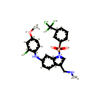 CNCc1cn(S(=O)(=O)c2cccc(C(F)(F)F)c2)c2cc(Nc3ccc(OC)cc3F)ccc12